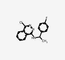 CC(Nc1nnc(Cl)c2ccccc12)c1ccc(F)cc1